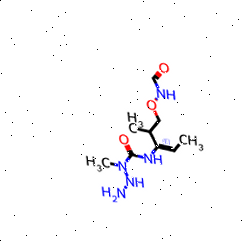 C/C=C(/NC(=O)N(C)NN)C(C)CONC=O